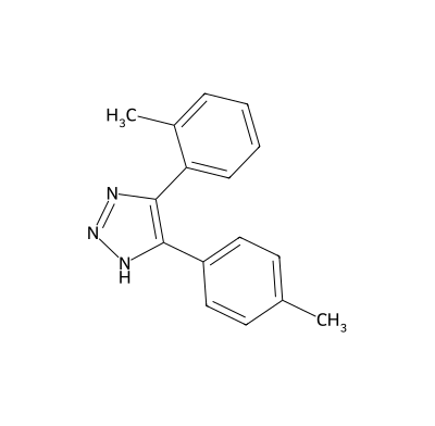 Cc1ccc(-c2[nH]nnc2-c2ccccc2C)cc1